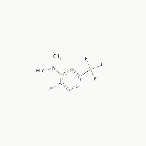 CN(C)c1cc(C(F)(F)F)ccc1F